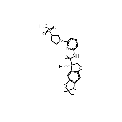 C[C@]1(C(=O)Nc2cccc(N3CC[C@@H](S(C)(=O)=O)C3)n2)COc2cc3c(cc21)OC(F)(F)O3